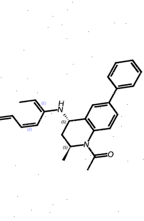 C=C/C=C\C(=C/C)N[C@H]1C[C@H](C)N(C(C)=O)c2ccc(-c3ccccc3)cc21